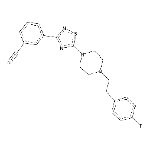 N#Cc1cccc(-c2nsc(N3CCN(CCc4ccc(F)cc4)CC3)n2)c1